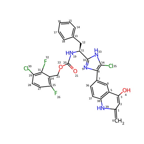 C=C1C=C(O)c2cc(-c3nc([C@H](Cc4ccccc4)NC(=O)OCc4c(F)ccc(Cl)c4F)[nH]c3Cl)ccc2N1